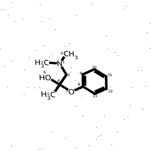 CN(C)CC(C)(O)Oc1ccccc1